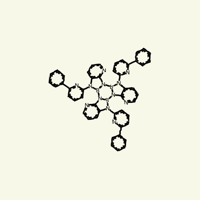 c1ccc(-c2cccc(N3B4N(B5N(B6N4c4ncccc4N6c4cccc(-c6ccccc6)n4)c4ncccc4N5c4cccc(-c5ccccc5)n4)c4ncccc43)n2)cc1